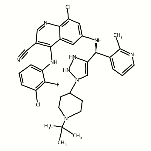 Cc1ncccc1[C@H](Nc1cc(Cl)c2ncc(C#N)c(Nc3cccc(Cl)c3F)c2c1)C1=CN(C2CCN(C(C)(C)C)CC2)NN1